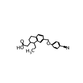 CCC1c2cc(COc3ccc(C#N)cc3)ccc2CCC1CC(=O)O